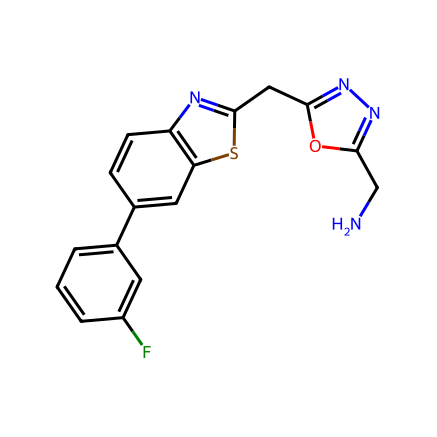 NCc1nnc(Cc2nc3ccc(-c4cccc(F)c4)cc3s2)o1